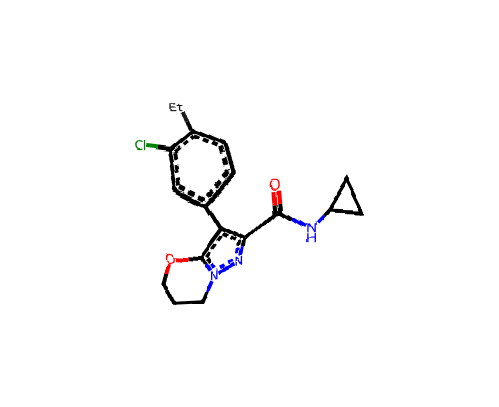 CCc1ccc(-c2c(C(=O)NC3CC3)nn3c2OCCC3)cc1Cl